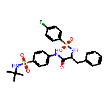 CC(C)(C)NS(=O)(=O)c1ccc(NC(=O)C(Cc2ccccc2)NS(=O)(=O)c2ccc(F)cc2)cc1